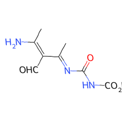 C/C(N)=C(C=O)\C(C)=N\C(=O)NC(=O)O